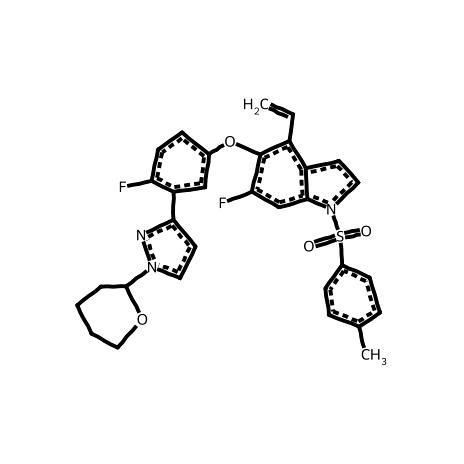 C=Cc1c(Oc2ccc(F)c(-c3ccn(C4CCCCO4)n3)c2)c(F)cc2c1ccn2S(=O)(=O)c1ccc(C)cc1